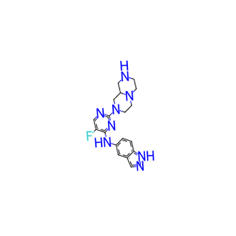 Fc1cnc(N2CCN3CCNCC3C2)nc1Nc1ccc2[nH]ncc2c1